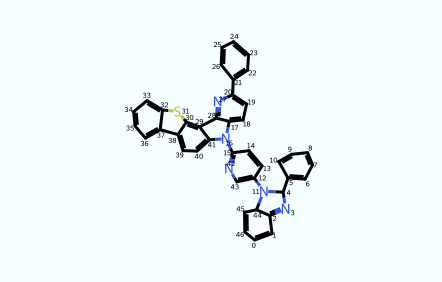 C1=CC2=NC(c3ccccc3)N(c3ccc(-n4c5ccc(-c6ccccc6)nc5c5c6sc7ccccc7c6ccc54)nc3)C2C=C1